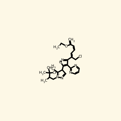 C=C(/C=C\C=C(/CCl)c1noc(C2C=NN(CC(C)C(C)(C)O)C2C)c1-c1ncccn1)OCC